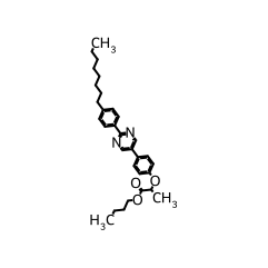 CCCCCCCCc1ccc(-c2ncc(-c3ccc(OC(C)C(=O)OCCCC)cc3)cn2)cc1